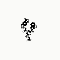 Cc1cc2c(C)noc2cc1NCC(=O)N(CCNCC(F)F)CC(=O)N(C)N1Cc2ccccc2C1.Cl